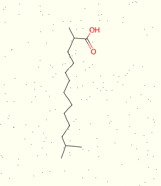 CC(C)CCCCCCCCCC(C)C(=O)O